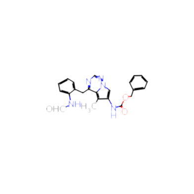 Cc1c(NC(=O)OCc2ccccc2)cn2ncnc(Cc3ccccc3NC=O)c12